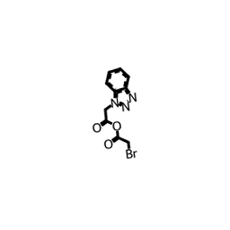 O=C(CBr)OC(=O)Cn1nnc2ccccc21